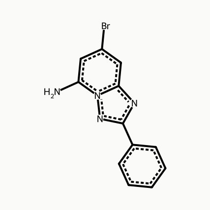 Nc1cc(Br)cc2nc(-c3ccccc3)nn12